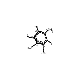 Bc1c(C)c(B)c(O)c(C)c1C